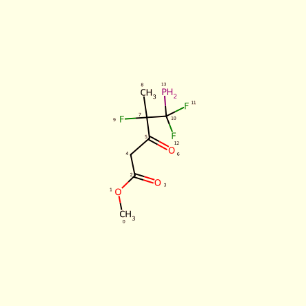 COC(=O)CC(=O)C(C)(F)C(F)(F)P